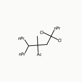 CCCC(CCC)C(C)(CC(Cl)(Cl)CCC)C(C)=O